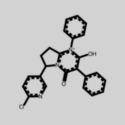 O=c1c(-c2ccccc2)c(O)[n+](-c2ccccc2)c2n1C(c1ccc(Cl)nc1)CC2